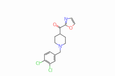 O=C(c1ncco1)C1CCN(Cc2ccc(Cl)c(Cl)c2)CC1